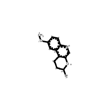 COc1ccc2ncc3c(c2c1)C[C]C(Br)O3